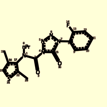 CCCN(C(=O)n1nnn(-c2ccccc2F)c1=O)c1c(C)csc1C